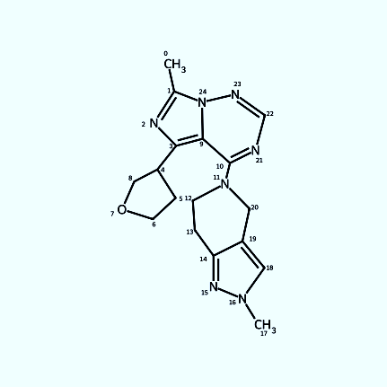 Cc1nc(C2CCOC2)c2c(N3CCc4nn(C)cc4C3)ncnn12